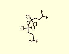 FC(F)CCC(Cl)(Cl)OC(Cl)(Cl)CCC(F)F